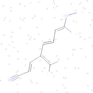 CN/C(C)=C/C=C/C(/C=C/C#N)=C(C)C